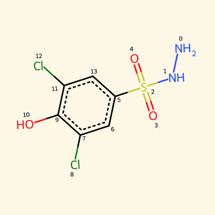 NNS(=O)(=O)c1cc(Cl)c(O)c(Cl)c1